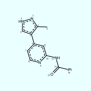 Cc1n[nH]cc1-c1ccnc(NC(=O)C(C)C)c1